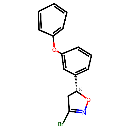 BrC1=NO[C@@H](c2cccc(Oc3ccccc3)c2)C1